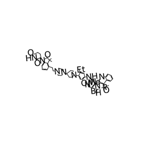 CCc1cc(Nc2ncc(Br)c(Nc3cnc4ccccc4c3P(C)(C)=O)n2)c(OC)cc1N1CCC(N2CCN(CCc3cccc4c3C(C)(C)C(=O)N4C3CCC(=O)NC3=O)CC2)CC1